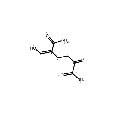 C=C(CC/C(=C/O)C(N)=O)C(N)=O